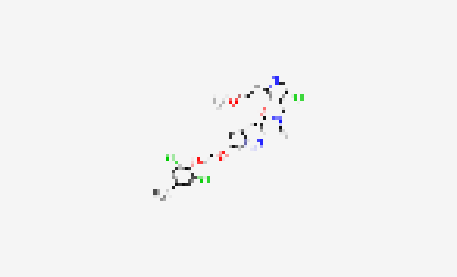 COCCCc1cc(CN(C(=O)C(CN)Cc2ccc(OCCOc3c(Cl)cc(C)cc3Cl)cc2)C2CC2)c(Cl)cn1